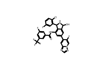 O=C(Nc1cc(-c2cc3ncnn3cc2F)cc2c1C(c1cc(F)ccc1Cl)NC2O)c1cc(F)cc(C(F)(F)F)c1